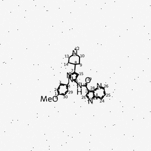 COc1ccc(-n2nc(C3CCN(C)CC3)cc2NC(=O)c2cnn3cccnc23)cc1